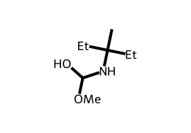 CCC(C)(CC)NC(O)OC